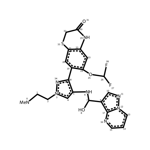 CNCCn1cc(NC(O)c2cnn3cccnc23)c(-c2cc3c(cc2OC(F)F)NC(=O)CS3)n1